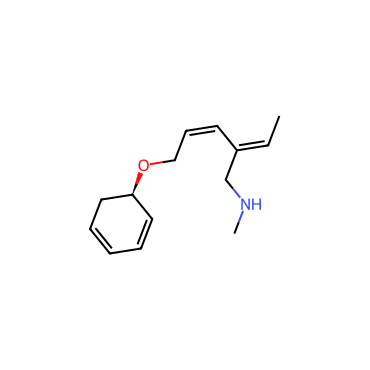 C/C=C(\C=C/CO[C@H]1C=CC=CC1)CNC